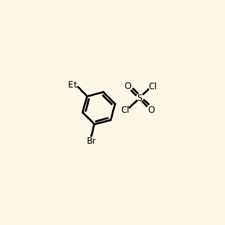 CCc1cccc(Br)c1.O=S(=O)(Cl)Cl